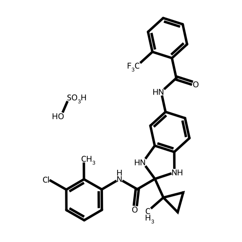 Cc1c(Cl)cccc1NC(=O)C1(C2(C)CC2)Nc2ccc(NC(=O)c3ccccc3C(F)(F)F)cc2N1.O=S(=O)(O)O